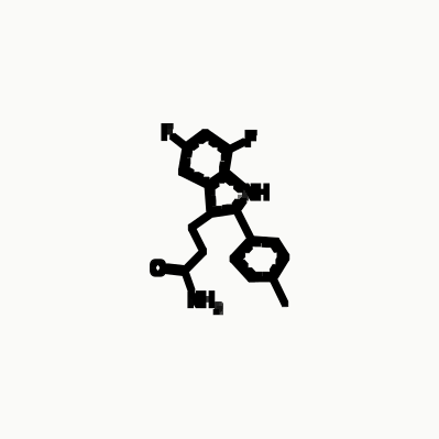 Cc1ccc(-c2[nH]c3c(F)cc(F)cc3c2CCC(N)=O)cc1